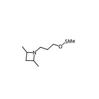 CSOCCCN1C(C)CC1C